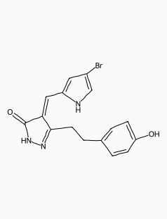 O=C1NN=C(CCc2ccc(O)cc2)/C1=C\c1cc(Br)c[nH]1